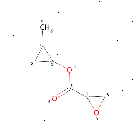 CC1CC1OC(=O)C1CO1